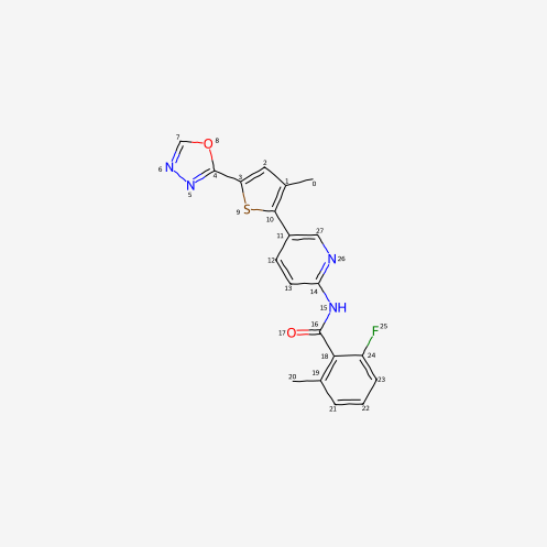 Cc1cc(-c2nnco2)sc1-c1ccc(NC(=O)c2c(C)cccc2F)nc1